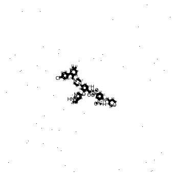 C=[N+]([O-])c1cc(S(=O)(=O)NC(=O)c2ccc(N3CCN(CC4=C(c5ccc(Cl)cc5)CC(C)(C)CC4)CC3)cc2Oc2cnc3[nH]ccc3c2)ccc1NCC1CCOCC1